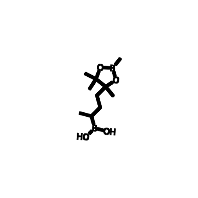 CB1OC(C)(C)C(C)(CCC(C)B(O)O)O1